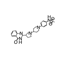 CS(=O)(=O)Nc1ccc(N2CCC(N3CCC(c4nc5ccccc5c(=O)[nH]4)C3)CC2)cc1